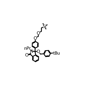 CCCN1C(=O)c2ccccc2C1(OCc1ccc(C(C)(C)C)cc1)c1ccc(OCOCC[Si](C)(C)C)cc1